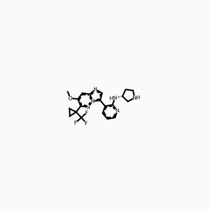 COc1cc2ncc(-c3cccnc3N[C@@H]3CCNC3)n2nc1C1(C(F)(F)F)CC1